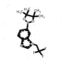 CC1(C)OB(c2ccc3ncn(CC(F)(F)F)c3c2)OC1(C)C